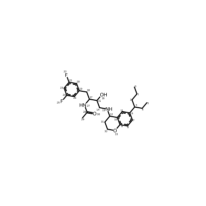 CCCC(CC)c1ccc2c(c1)C(NCC(O)C(Cc1cc(F)cc(F)c1)NC(C)=O)CCO2